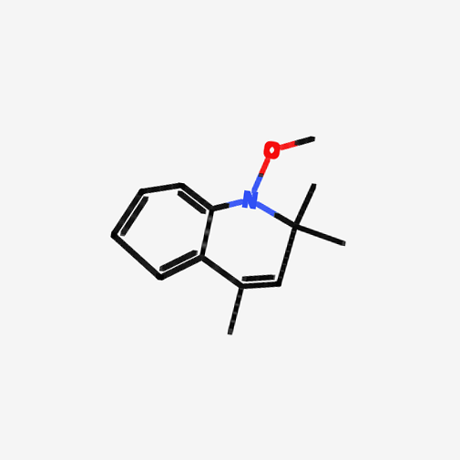 CON1c2ccccc2C(C)=CC1(C)C